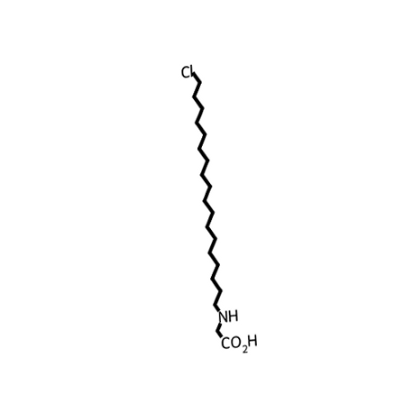 O=C(O)CNCCCCCCCCCCCCCCCCCCCl